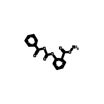 BOC(=O)c1ccccc1OC(=O)OC(=O)c1ccccc1